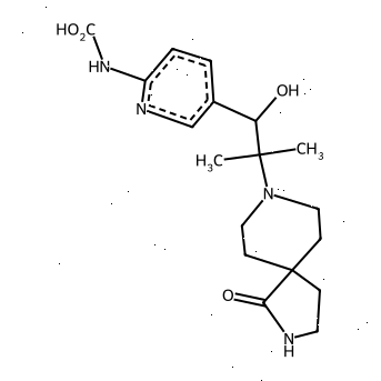 CC(C)(C(O)c1ccc(NC(=O)O)nc1)N1CCC2(CCNC2=O)CC1